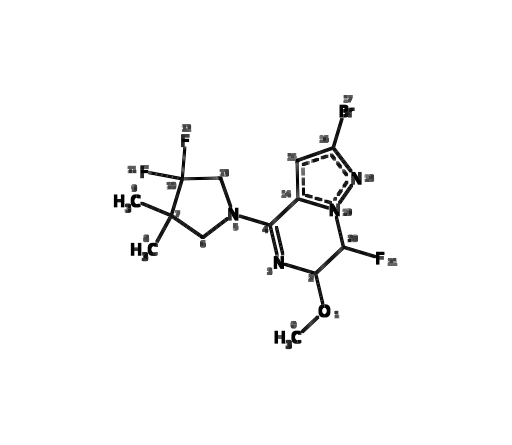 COC1N=C(N2CC(C)(C)C(F)(F)C2)c2cc(Br)nn2C1F